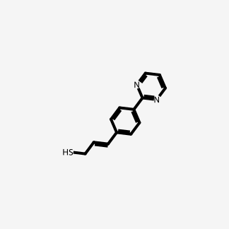 SCC=Cc1ccc(-c2ncccn2)cc1